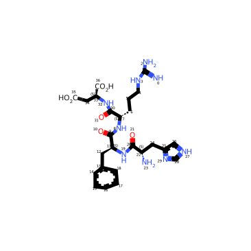 N=C(N)NCCC[C@H](NC(=O)[C@H](Cc1ccccc1)NC(=O)[C@@H](N)Cc1c[nH]cn1)C(=O)N[C@@H](CC(=O)O)C(=O)O